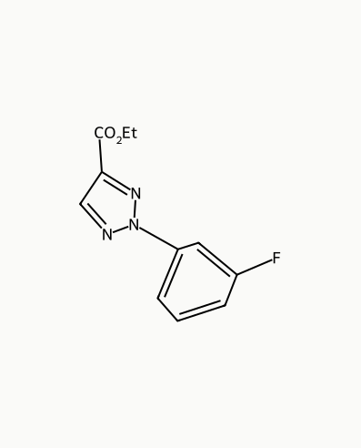 CCOC(=O)c1cnn(-c2cccc(F)c2)n1